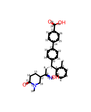 Cc1ccccc1[C@H](C/C(=N\O)C1CCC(=O)N(C)C1)c1ccc(-c2ccc(C(=O)O)cc2)cc1